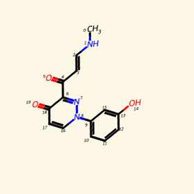 CN/C=C/C(=O)c1nn(-c2cccc(O)c2)ccc1=O